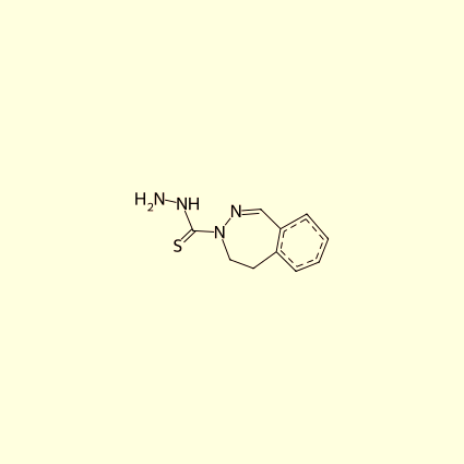 NNC(=S)N1CCc2ccccc2C=N1